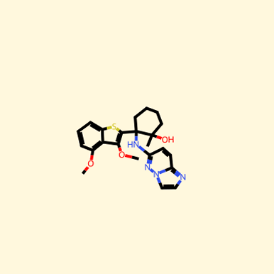 COc1cccc2sc(C3(Nc4ccc5nccn5n4)CCCCC3(C)O)c(OC)c12